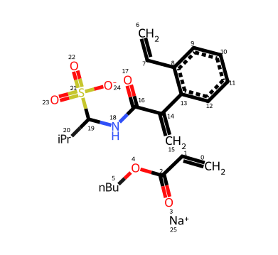 C=CC(=O)OCCCC.C=Cc1ccccc1C(=C)C(=O)NC(C(C)C)S(=O)(=O)[O-].[Na+]